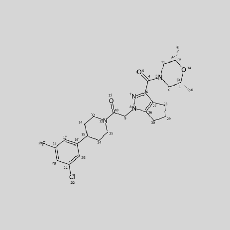 C[C@@H]1CN(C(=O)c2nn(CC(=O)N3CCC(c4cc(F)cc(Cl)c4)CC3)c3c2CCC3)C[C@H](C)O1